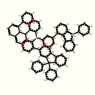 C1=CC2=CC=CC(c3ccccc3N(c3cccc(-c4cccc5c4c4ccccc4n5-c4ccccc4)c3)c3ccccc3-c3ccc4c(c3)C(c3ccccc3)(c3ccccc3)c3ccccc3-4)C2C(c2ccccc2)=C1